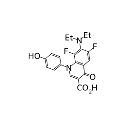 CCN(CC)c1c(F)cc2c(=O)c(C(=O)O)cn(-c3ccc(O)cc3)c2c1F